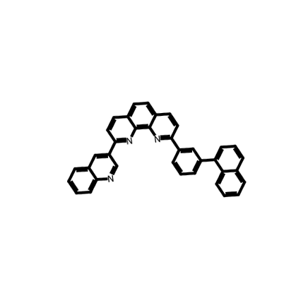 c1cc(-c2ccc3ccc4ccc(-c5cnc6ccccc6c5)nc4c3n2)cc(-c2cccc3ccccc23)c1